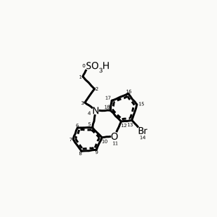 O=S(=O)(O)CCCN1c2ccccc2Oc2c(Br)cccc21